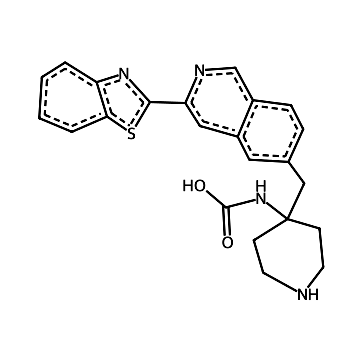 O=C(O)NC1(Cc2ccc3cnc(-c4nc5ccccc5s4)cc3c2)CCNCC1